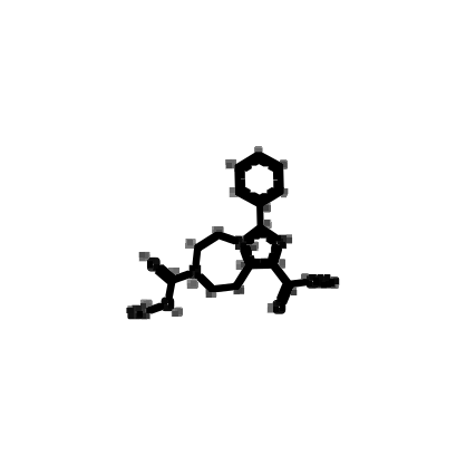 COC(=O)c1nc(-c2ccccc2)n2c1CCN(C(=O)OC(C)(C)C)CC2